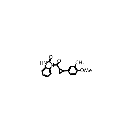 COc1ccc(C2CC2C(=O)n2c(=O)[nH]c3ccccc32)cc1C